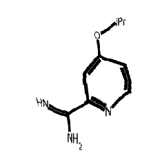 CC(C)Oc1ccnc(C(=N)N)c1